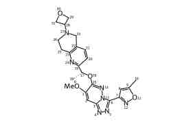 COc1cc2nnc(-c3cc(C)on3)n2nc1O[C@H](C)c1ccc2c(n1)CCN(C1COC1)C2